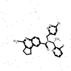 C[C@H](c1ncccc1F)N(Cc1ccc(Br)nn1)C(=O)c1ccc2nc(N)c3c(c2c1)CCC3